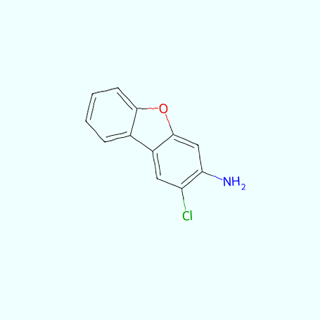 Nc1cc2oc3ccccc3c2cc1Cl